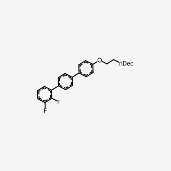 CCCCCCCCCCCCOc1ccc(-c2ccc(-c3cccc(F)c3F)cc2)cc1